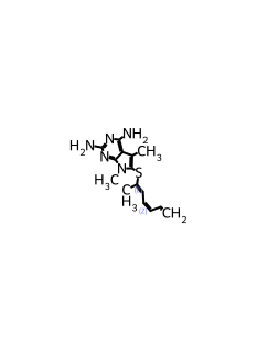 C=C/C=C\C=C(/C)Sc1c(C)c2c(N)nc(N)nc2n1C